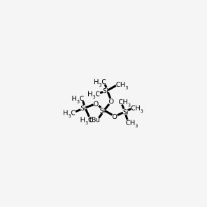 CC(C)(C)[Si](O[Si](C)(C)C)(O[Si](C)(C)C)O[Si](C)(C)C